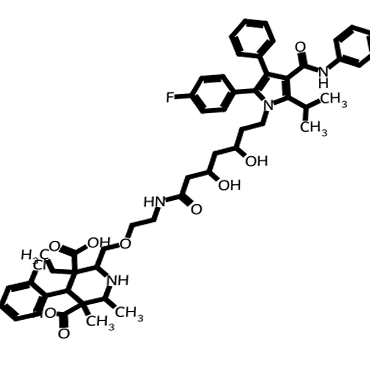 CCC1(C(=O)O)C(COCCNC(=O)CC(O)CC(O)CCn2c(-c3ccc(F)cc3)c(-c3ccccc3)c(C(=O)Nc3ccccc3)c2C(C)C)NC(C)C(C)(C(=O)O)C1c1ccccc1Cl